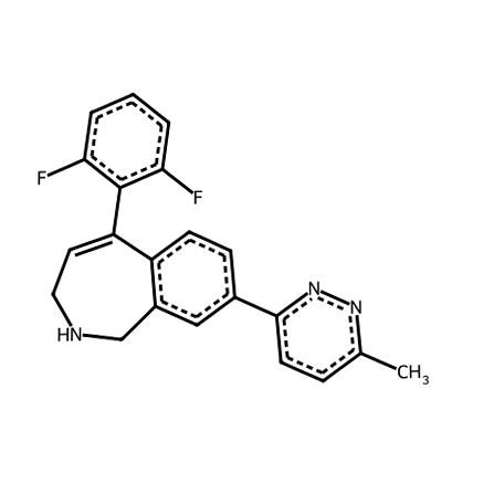 Cc1ccc(-c2ccc3c(c2)CNCC=C3c2c(F)cccc2F)nn1